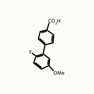 COc1ccc(F)c(-c2ccc(C(=O)O)cc2)c1